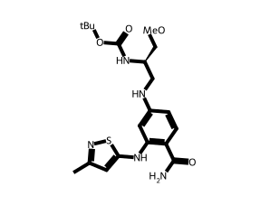 COC[C@@H](CNc1ccc(C(N)=O)c(Nc2cc(C)ns2)c1)NC(=O)OC(C)(C)C